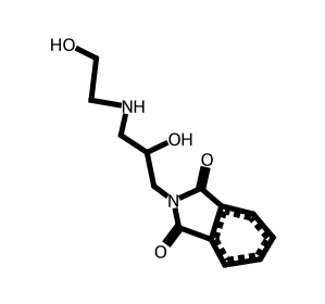 O=C1c2ccccc2C(=O)N1CC(O)CNCCO